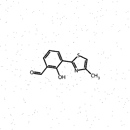 Cc1csc(-c2cccc(C=O)c2O)n1